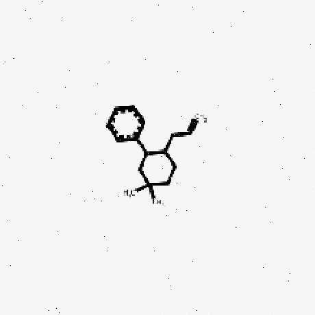 C=CCC1CCC(C)(C)CC1c1ccccc1